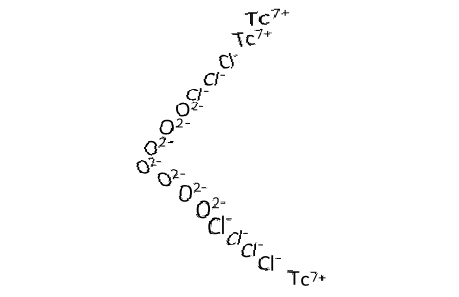 [Cl-].[Cl-].[Cl-].[Cl-].[Cl-].[Cl-].[Cl-].[O-2].[O-2].[O-2].[O-2].[O-2].[O-2].[O-2].[Tc+7].[Tc+7].[Tc+7]